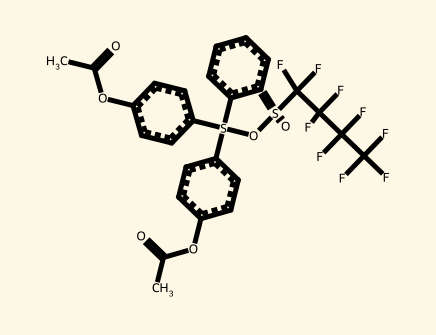 CC(=O)Oc1ccc(S(OS(=O)(=O)C(F)(F)C(F)(F)C(F)(F)C(F)(F)F)(c2ccccc2)c2ccc(OC(C)=O)cc2)cc1